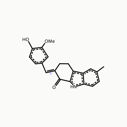 COc1cc(/C=C2\CCc3c([nH]c4ccc(C)cc34)C2=O)ccc1O